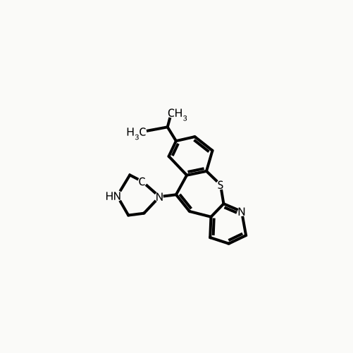 CC(C)c1ccc2c(c1)C(N1CCNCC1)=Cc1cccnc1S2